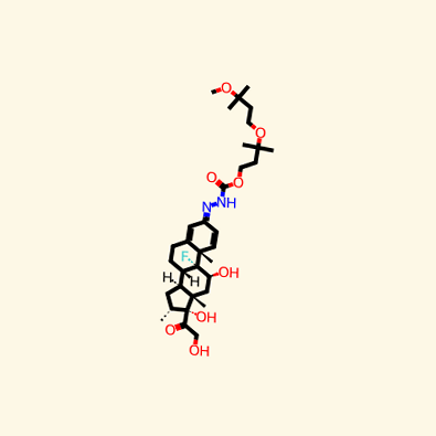 COC(C)(C)CCOC(C)(C)CCOC(=O)N/N=C1\C=C[C@@]2(C)C(=C1)CC[C@H]1[C@@H]3C[C@@H](C)[C@](O)(C(=O)CO)[C@@]3(C)C[C@H](O)[C@@]12F